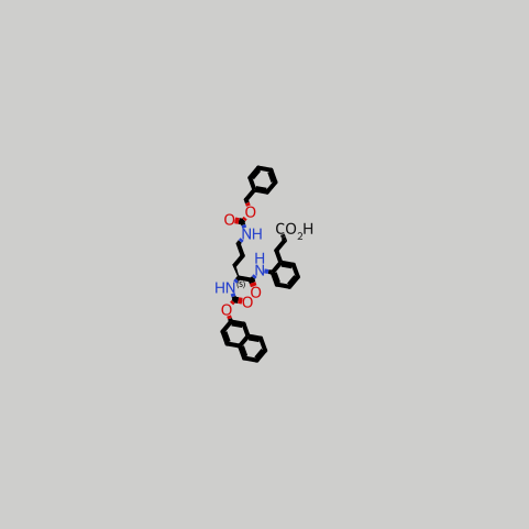 O=C(O)CCc1ccccc1NC(=O)[C@H](CCCNC(=O)OCc1ccccc1)NC(=O)Oc1ccc2ccccc2c1